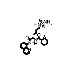 CN1CCCCC1C(=O)N[C@@H](CCCCNS(N)(=O)=O)C(=O)Nc1cccc2cccnc12